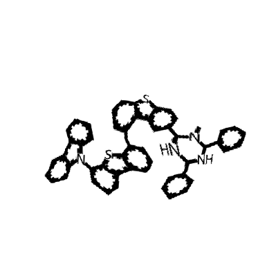 CN1C(c2ccccc2)NC(c2ccccc2)NC1c1ccc2sc3cccc(-c4cccc5c4sc4c(-n6c7ccccc7c7ccccc76)cccc45)c3c2c1